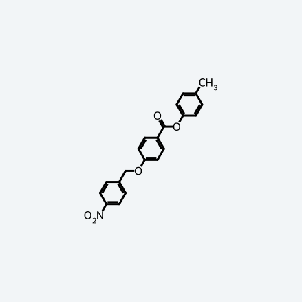 Cc1ccc(OC(=O)c2ccc(OCc3ccc([N+](=O)[O-])cc3)cc2)cc1